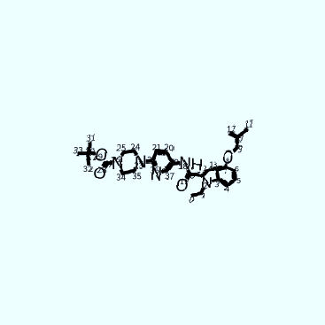 CCN1c2cccc(OCC(C)C)c2CC1C(=O)Nc1ccc(N2CCN(C(=O)OC(C)(C)C)CC2)nc1